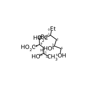 CCC(CC(O)CO)C(=O)O.CCCCC(CC(C)O)C(=O)O